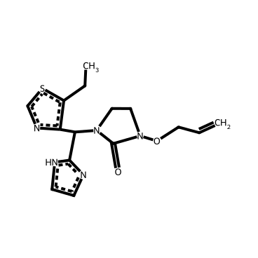 C=CCON1CCN(C(c2ncc[nH]2)c2ncsc2CC)C1=O